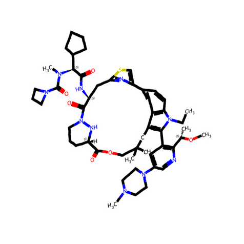 CCn1c(-c2cc(N3CCN(C)CC3)cnc2[C@H](C)OC)c2c3cc(ccc31)-c1csc(n1)C[C@H](NC(=O)[C@H](C1CCCC1)N(C)C(=O)N1CCC1)C(=O)N1CCC[C@H](N1)C(=O)OCC(C)(C)C2